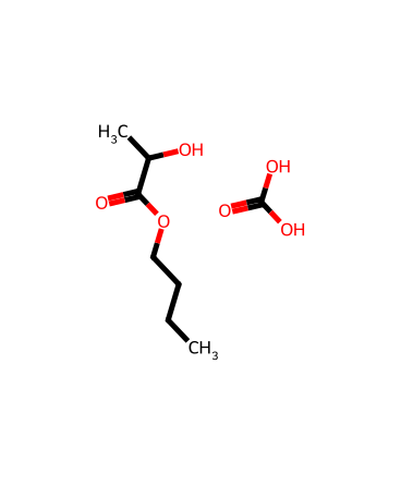 CCCCOC(=O)C(C)O.O=C(O)O